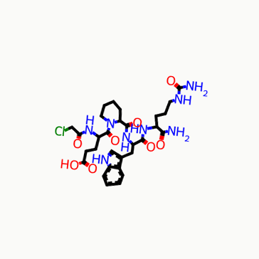 NC(=O)NCCCC(NC(=O)C(Cc1c[nH]c2ccccc12)NC(=O)C1CCCCN1C(=O)C(CCC(=O)O)NC(=O)CCl)C(N)=O